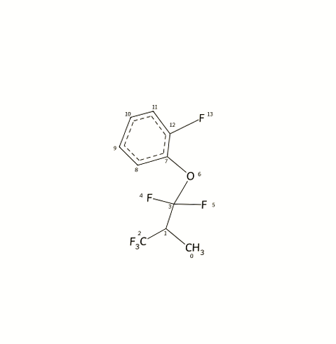 CC(C(F)(F)F)C(F)(F)Oc1ccccc1F